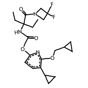 CCC(CC)(NC(=O)Oc1ccc(C2CC2)c(OCC2CC2)n1)C(=O)N1CC(F)(F)C1